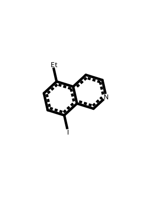 CCc1ccc(I)c2cnccc12